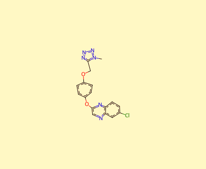 Cn1nnnc1COc1ccc(Oc2cnc3cc(Cl)ccc3n2)cc1